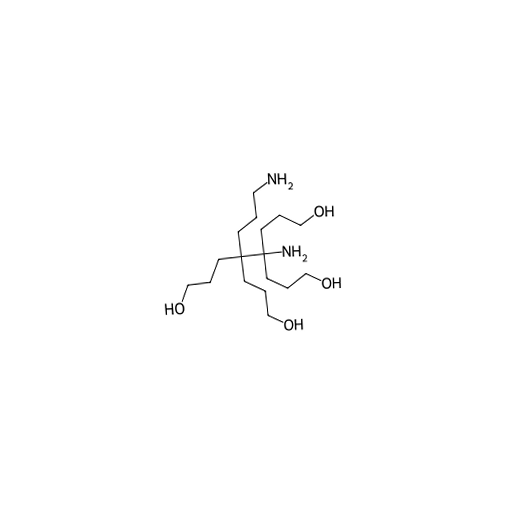 NCCCC(CCCO)(CCCO)C(N)(CCCO)CCCO